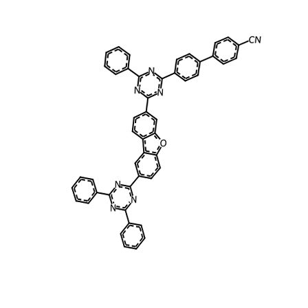 N#Cc1ccc(-c2ccc(-c3nc(-c4ccccc4)nc(-c4ccc5c(c4)oc4ccc(-c6nc(-c7ccccc7)nc(-c7ccccc7)n6)cc45)n3)cc2)cc1